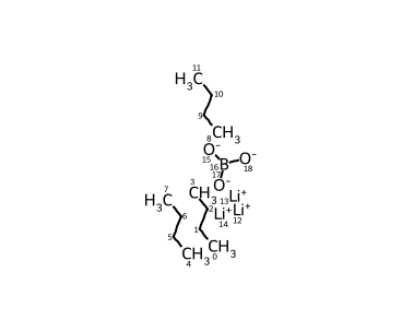 CCCC.CCCC.CCCC.[Li+].[Li+].[Li+].[O-]B([O-])[O-]